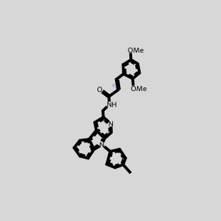 COc1ccc(OC)c(/C=C/C(=O)NCc2cc3c4ccccc4n(-c4ccc(C)cc4)c3cn2)c1